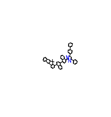 CC1(C)c2cc3ccccc3cc2-c2cccc(-c3ccc(-c4ccc(-c5nc(-c6ccccc6)cc(-c6ccc(-c7ccccc7)cc6)n5)c5ccccc45)c4ccccc34)c21